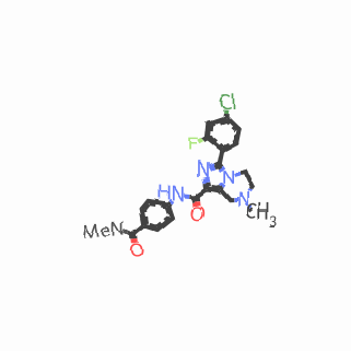 CNC(=O)c1ccc(NC(=O)c2nc(-c3ccc(Cl)cc3F)n3c2CN(C)CC3)cc1